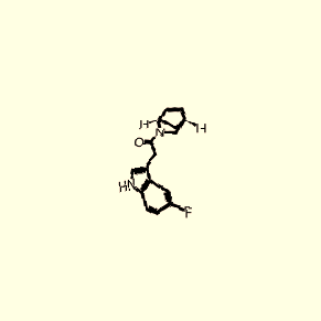 O=C(Cc1c[nH]c2ccc(F)cc12)N1C[C@H]2C=C[C@@H]1C2